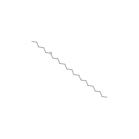 CC[CH]CCOCCCCCCCCCCCCCCCC